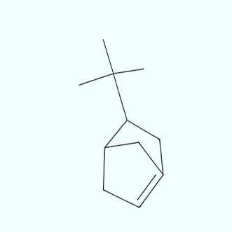 CC(C)(C)C1CC2=CCC1C2